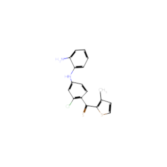 Cc1ccsc1C(=S)c1ccc(Nc2ccccc2N)cc1Cl